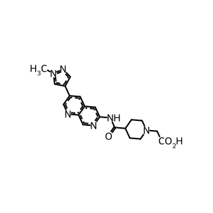 Cn1cc(-c2cnc3cnc(NC(=O)C4CCN(CC(=O)O)CC4)cc3c2)cn1